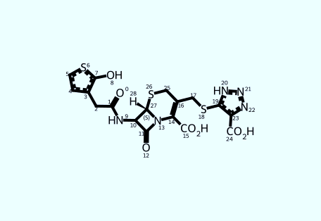 O=C(Cc1ccsc1O)NC1C(=O)N2C(C(=O)O)=C(CSc3[nH]nnc3C(=O)O)CS[C@@H]12